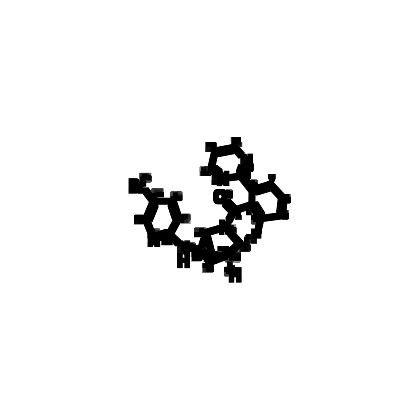 O=C(c1c(F)cccc1-c1ncccn1)N1C[C@H]2CC(Nc3ccc(Br)cn3)C1C2